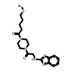 CC(=O)SCCCCC(=O)N1CCN(C(=O)CNc2nc3ccccc3s2)CC1